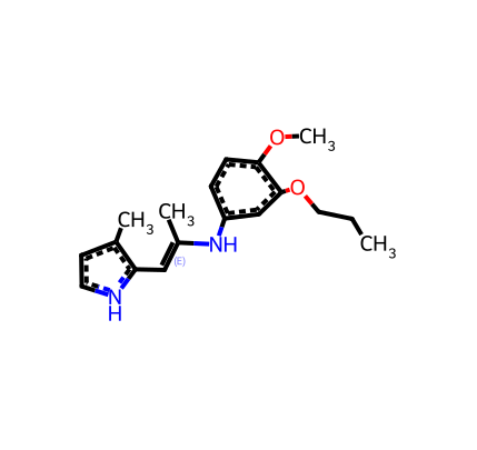 CCCOc1cc(N/C(C)=C/c2[nH]ccc2C)ccc1OC